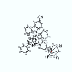 N#Cc1ccc2c(c1)-c1cccc(-c3nc(-c4ccccc4)nc(-c4ccc(C56C[C@H]7C[C@H](C5)C[C@@H](C6)C7)cc4)n3)c1C2(c1ccccc1)c1ccccc1